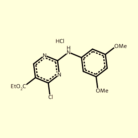 CCOC(=O)c1cnc(Nc2cc(OC)cc(OC)c2)nc1Cl.Cl